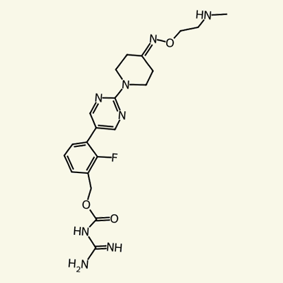 CNCCON=C1CCN(c2ncc(-c3cccc(COC(=O)NC(=N)N)c3F)cn2)CC1